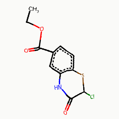 CCOC(=O)c1ccc2c(c1)NC(=O)C(Cl)S2